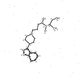 CCN(CCCN1CCC(c2noc3ccccc23)CC1)[S+]([O-])C(C)CO